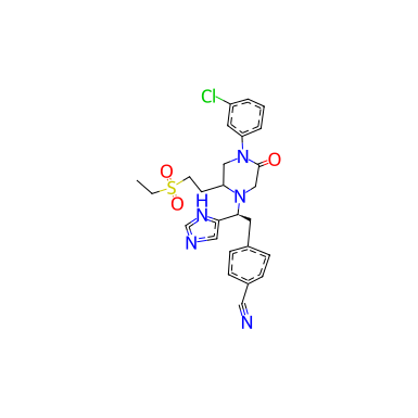 CCS(=O)(=O)CCC1CN(c2cccc(Cl)c2)C(=O)CN1[C@@H](Cc1ccc(C#N)cc1)c1cnc[nH]1